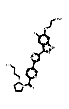 COCCOc1cc2[nH]nc(-c3cc(-c4ccc(C(=O)N5CCC[C@H]5CCCO)nc4)no3)c2cc1F